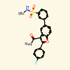 CNC(=O)c1c(-c2ccc(F)cc2)oc2ccc(-c3cccc(S(=O)(=O)NC(C)(C)C)c3)cc12